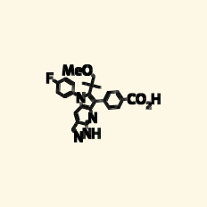 COCC(C)(C)c1c(-c2ccc(C(=O)O)cc2)c2nc3[nH]ncc3cc2n1-c1ccc(F)cc1